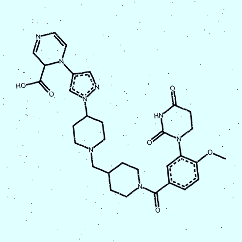 COc1ccc(C(=O)N2CCC(CN3CCC(n4cc(N5C=CN=CC5C(=O)O)cn4)CC3)CC2)cc1N1CCC(=O)NC1=O